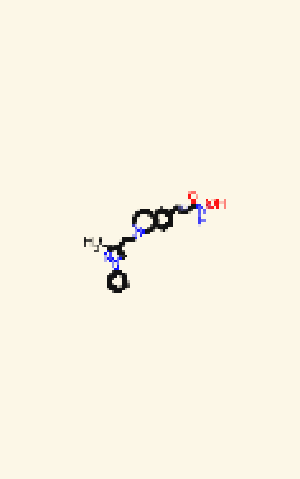 Cc1nn(-c2ccccc2)cc1CCN1CCCc2cc(/C=C/C(=O)NO)ccc2C1